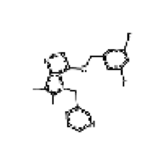 Cc1c(C)n(Cc2cccnc2)c2c(OCc3cc(F)cc(F)c3)ccnc12